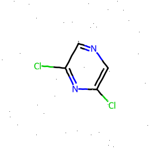 Clc1[c]ncc(Cl)n1